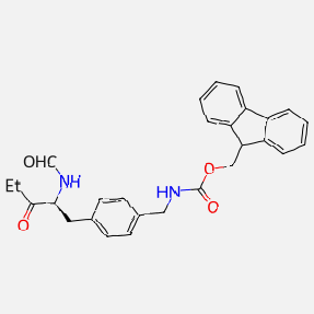 CCC(=O)[C@H](Cc1ccc(CNC(=O)OCC2c3ccccc3-c3ccccc32)cc1)NC=O